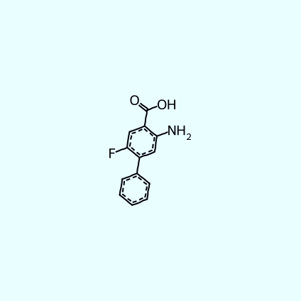 Nc1cc(-c2ccccc2)c(F)cc1C(=O)O